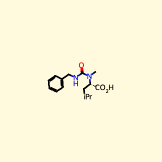 CC(C)C[C@@H](C(=O)O)N(C)C(=O)NCc1ccccc1